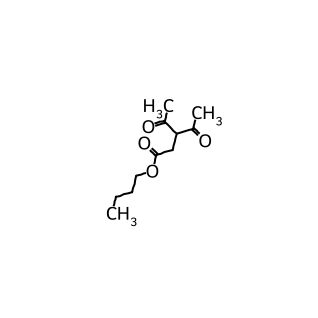 CCCCOC(=O)CC(C(C)=O)C(C)=O